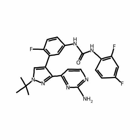 CC(C)(C)n1cc(-c2cc(NC(=O)Nc3ccc(F)cc3F)ccc2F)c(-c2ccnc(N)n2)n1